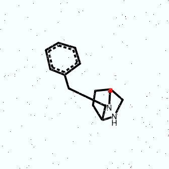 c1ccc(CN2CC3CCC(C2)NC3)cc1